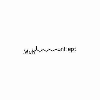 [CH2]CCCCCCCCCCCCCC(=C)NC